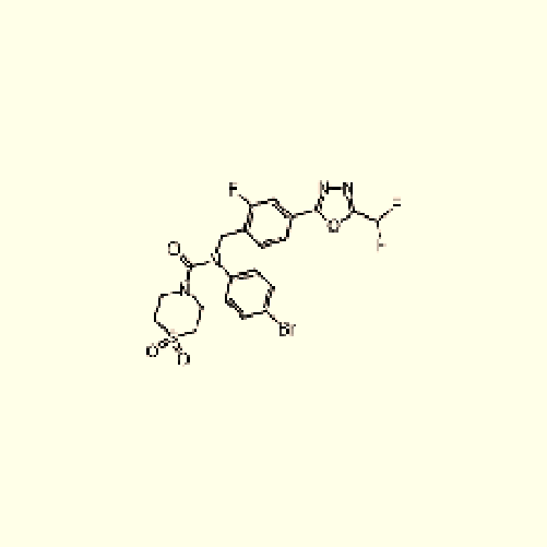 O=C(N1CCS(=O)(=O)CC1)N(Cc1ccc(-c2nnc(C(F)F)o2)cc1F)c1ccc(Br)cc1